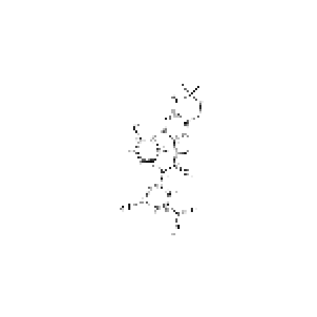 CC1(C)CCc2cc([C@]3(C)C(=O)N(c4cc(C#N)cc(C(=O)O)c4)c4ccc(Cl)cc43)ccc2O1